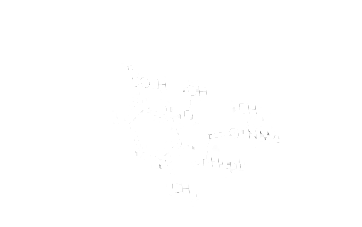 CCCCCCCC(=O)OO.CNC.Cc1ccc(S(=O)(=O)O)cc1